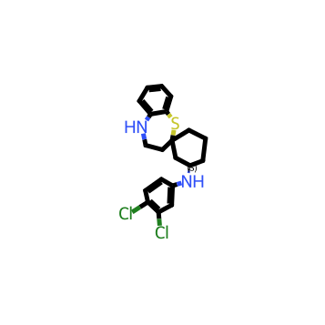 Clc1ccc(N[C@H]2CCCC3(CCNc4ccccc4S3)C2)cc1Cl